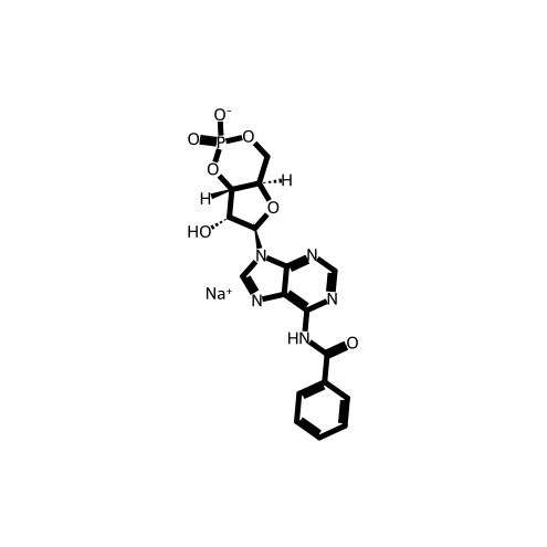 O=C(Nc1ncnc2c1ncn2[C@@H]1O[C@@H]2COP(=O)([O-])O[C@H]2[C@H]1O)c1ccccc1.[Na+]